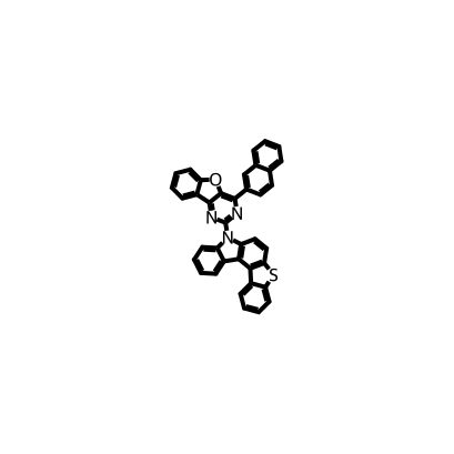 c1ccc2cc(-c3nc(-n4c5ccccc5c5c6c(ccc54)sc4ccccc46)nc4c3oc3ccccc34)ccc2c1